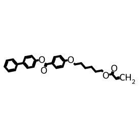 C=CC(=O)OCCCCCCOc1ccc(C(=O)Oc2ccc(-c3ccccc3)cc2)cc1